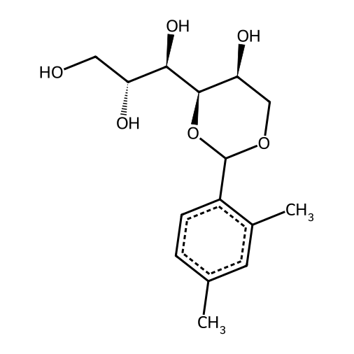 Cc1ccc(C2OC[C@H](O)[C@H]([C@H](O)[C@H](O)CO)O2)c(C)c1